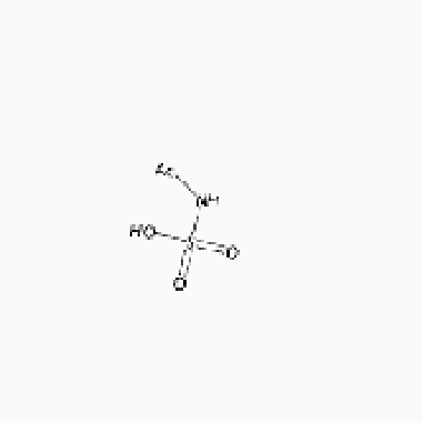 CC(=O)NS(=O)(=O)O